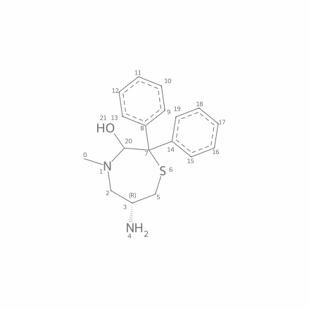 CN1C[C@@H](N)CSC(c2ccccc2)(c2ccccc2)C1O